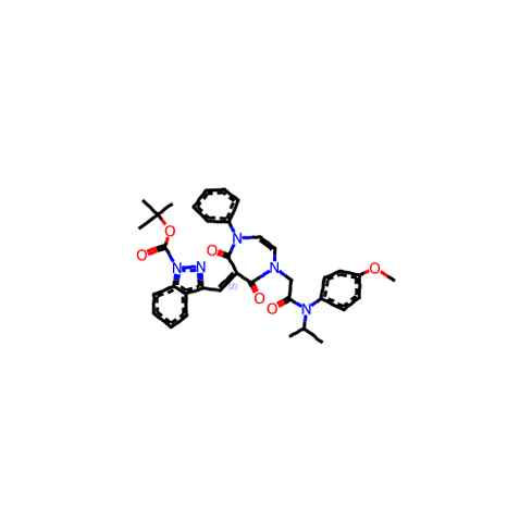 COc1ccc(N(C(=O)CN2C=CN(c3ccccc3)C(=O)/C(=C\c3nn(C(=O)OC(C)(C)C)c4ccccc34)C2=O)C(C)C)cc1